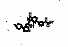 CC(C)C(=O)Nc1cncc(-c2ccc3[nH]nc(-c4cc5c(N6CCN(C)CC6)ccnc5[nH]4)c3n2)c1